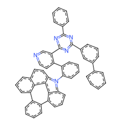 c1ccc(-c2cccc(-c3nc(-c4ccccc4)nc(-c4cnccc4-c4ccccc4-n4c5cccc6c5c5c7c(cccc7ccc54)-c4ccccc4-6)n3)c2)cc1